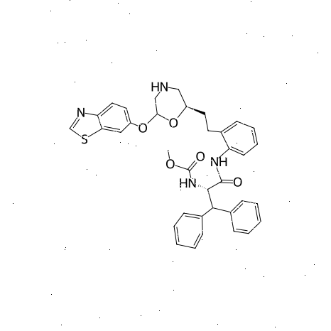 COC(=O)N[C@H](C(=O)Nc1ccccc1CC[C@@H]1CNCC(Oc2ccc3ncsc3c2)O1)C(c1ccccc1)c1ccccc1